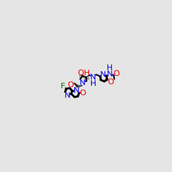 O=C1COc2ccc(CNC[C@H]3CN(C[C@@H]4COc5c(F)cnc6ccc(=O)n4c56)C[C@H]3O)nc2N1